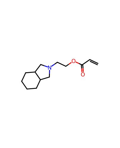 C=CC(=O)OCCN1CC2CCCCC2C1